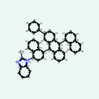 CCc1nc2ccccc2n1-c1ccc(-c2c3ccccc3c(-c3cccc4ccccc34)c3ccc(-c4ccccc4)cc23)c2ccccc12